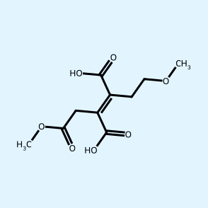 COCCC(C(=O)O)=C(CC(=O)OC)C(=O)O